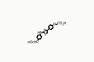 CCCCCCCCOc1ccc(Nc2nc(-c3ccc(OCC(=O)O)cc3)cs2)cc1